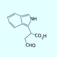 O=CCC(C(=O)O)c1[nH]cc2ccccc12